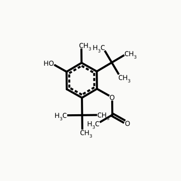 CC(=O)Oc1c(C(C)(C)C)cc(O)c(C)c1C(C)(C)C